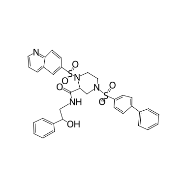 O=C(NCC(O)c1ccccc1)C1CN(S(=O)(=O)c2ccc(-c3ccccc3)cc2)CCN1S(=O)(=O)c1ccc2ncccc2c1